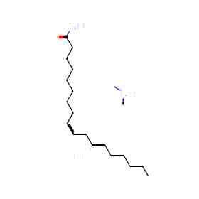 CCCCCC[C@@H](O)C/C=C\CCCCCCCC(N)=O.CNC